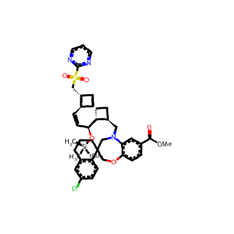 COC(=O)c1ccc2c(c1)N(C[C@@H]1CC[C@H]1[C@H](/C=C\[C@@H]1CC[C@H]1CS(=O)(=O)c1ncccn1)O[Si](C)(C)C(C)(C)C)CC1(CCCc3cc(Cl)ccc31)CO2